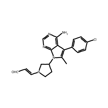 Cc1c(-c2ccc(Cl)cc2)c2c(N)ncnc2n1C1CCN(C=CC=O)C1